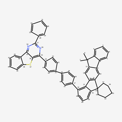 CC1(C)c2ccccc2-c2cc3c(cc21)-c1c(-c2ccc(-c4ccc(-c5nc(-c6ccccc6)nc6c5sc5ccccc56)cc4)cc2)cccc1C31CCCCC1